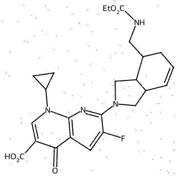 CCOC(=O)NCC1CC=CC2CN(c3nc4c(cc3F)c(=O)c(C(=O)O)cn4C3CC3)CC21